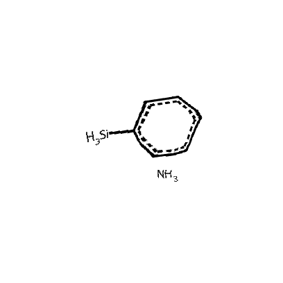 N.[SiH3]c1ccccc1